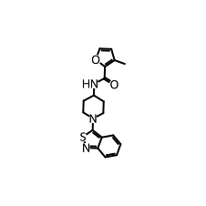 Cc1ccoc1C(=O)NC1CCN(c2snc3ccccc23)CC1